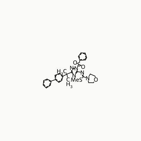 CS/C(=N\c1nc(C(C)(C)c2ccc(-c3ccccc3)cc2)nn1S(=O)(=O)c1ccccc1)N1CCOCC1